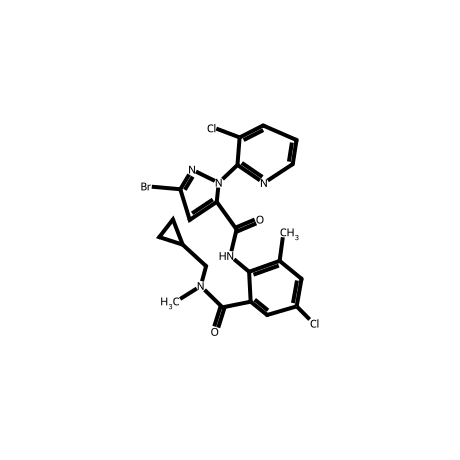 Cc1cc(Cl)cc(C(=O)N(C)CC2CC2)c1NC(=O)c1cc(Br)nn1-c1ncccc1Cl